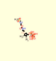 C=P(O)(OCC1CC(B/C=C/NC(=O)OCCNCS(C)(=O)=O)C(C)C1C)OP(=O)(O)OP(=O)(O)O